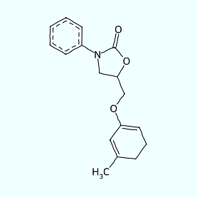 CC1=CC(OCC2CN(c3ccccc3)C(=O)O2)=CCC1